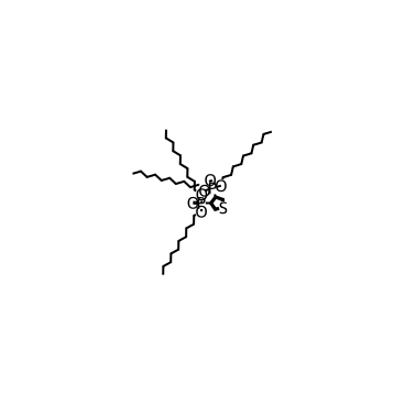 CCCCCCCCCCOP(=O)(OCCCCCCCCCC)c1cscc1P(=O)(OCCCCCCCCCC)OCCCCCCCCCC